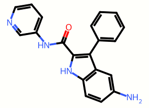 Nc1ccc2[nH]c(C(=O)Nc3cccnc3)c(-c3ccccc3)c2c1